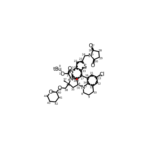 CC(C)(C)OC(=O)N1C[C@@H](N2CCCc3cc(Cl)cc(-c4ccnc5cc(CN6C(=O)CCC6=O)sc45)c32)C[C@]1(C)COC1CCCCO1